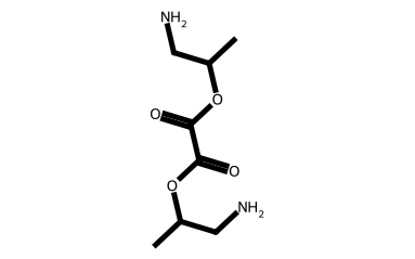 CC(CN)OC(=O)C(=O)OC(C)CN